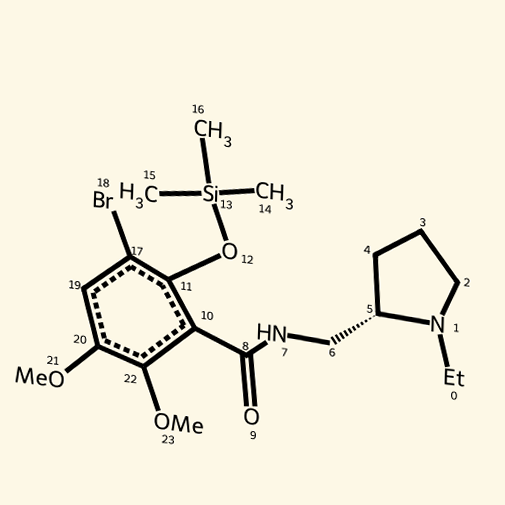 CCN1CCC[C@H]1CNC(=O)c1c(O[Si](C)(C)C)c(Br)cc(OC)c1OC